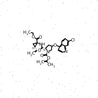 C=C[C@@H]1C[C@]1(NC(=O)[C@@H]1CC(Oc2ccnc3cc(Cl)ccc23)CN1C(=O)OC(=C)C)C(=O)OCC